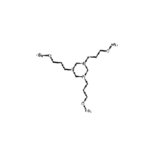 CCCCOCCCN1CN(CCCOCCCC)CN(CCCOCCCC)C1